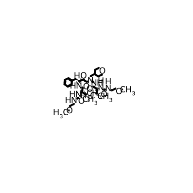 COCCNC(=O)N[C@H](C(=O)N[C@@H](Cc1ccccc1)[C@@H](O)CN(CC1CCOCC1)NC(=O)[C@@H](NC(=O)NCCOC)C(C)C)C(C)C